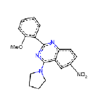 COc1ccccc1-c1nc(N2CCCC2)c2cc([N+](=O)[O-])ccc2n1